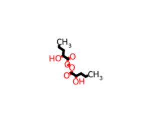 CCCC(O)C(=O)OOC(=O)C(O)CCC